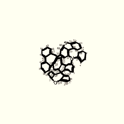 c1ccc(N(c2cccc3c2-c2ccccc2C32c3ccccc3Oc3ccccc32)c2cc(-c3cc4ccccc4c4ccccc34)cc3sc4ccccc4c23)cc1